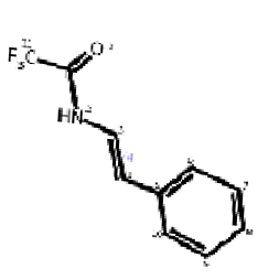 O=C(N/C=C/c1ccccc1)C(F)(F)F